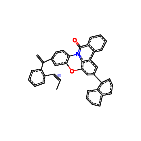 C=C(c1ccc2c(c1)Oc1cc(-c3cccc4ccccc34)cc3c4ccccc4c(=O)n-2c13)c1ccccc1/C=C\C